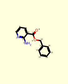 Nc1ncccc1C(=O)OCc1ccccc1